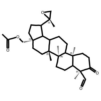 CC(=O)OC[C@]12CCC([C@@]3(C)CO3)C1C1CCC3[C@@]4(C)CCC(=O)[C@@](C)(C=O)C4CC[C@@]3(C)[C@]1(C)CC2